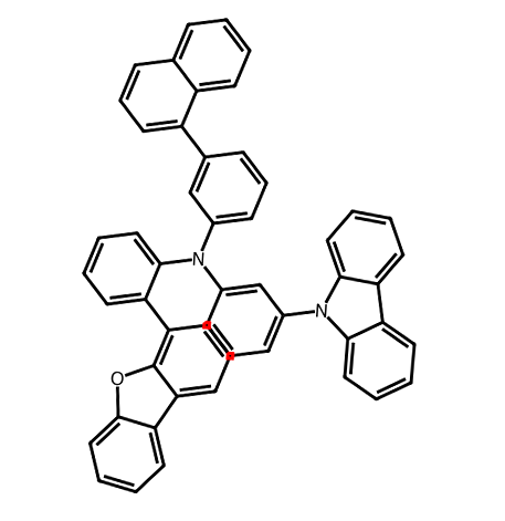 c1cc(-c2cccc3ccccc23)cc(N(c2cccc(-n3c4ccccc4c4ccccc43)c2)c2ccccc2-c2cccc3c2oc2ccccc23)c1